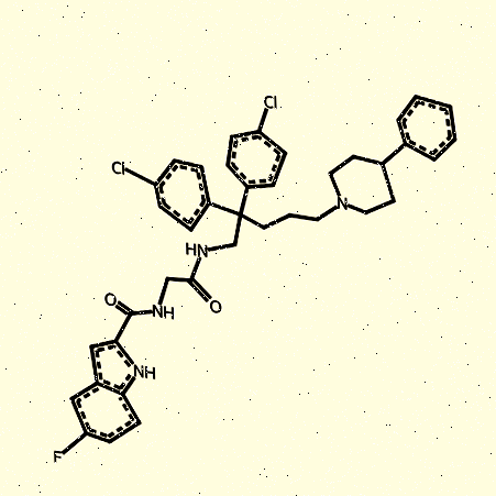 O=C(CNC(=O)c1cc2cc(F)ccc2[nH]1)NCC(CCCN1CCC(c2ccccc2)CC1)(c1ccc(Cl)cc1)c1ccc(Cl)cc1